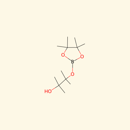 CC(C)(O)C(C)(C)OB1OC(C)(C)C(C)(C)O1